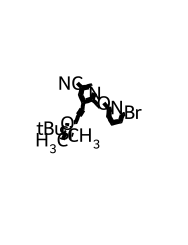 CC(C)(C)[Si](C)(C)OCC#Cc1cc(C#N)cnc1COc1cccc(Br)n1